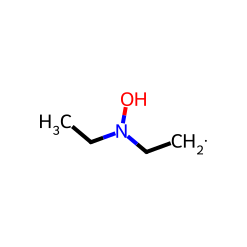 [CH2]CN(O)CC